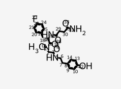 CN(CC(=O)NCCc1ccc(O)cc1)C(=O)[C@H](Cc1ccc(F)cc1)NC(=O)CCC(N)=O